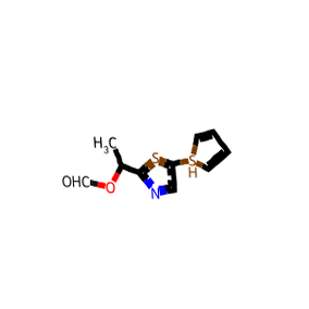 CC(OC=O)c1ncc([SH]2C=CC=C2)s1